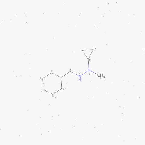 CN(NCC1CCCCC1)C1CC1